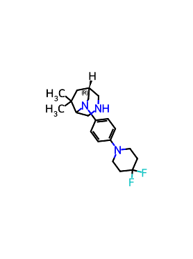 CC1(C)C[C@@H]2CNCC1N(c1ccc(N3CCC(F)(F)CC3)cc1)C2